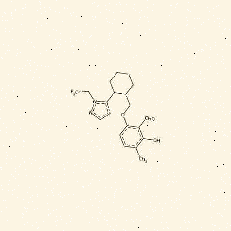 Cc1ccc(OCC2CCCCC2c2ccnn2CC(F)(F)F)c(C=O)c1O